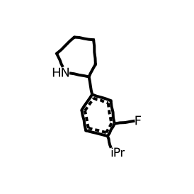 CC(C)c1ccc(C2CCCCN2)cc1F